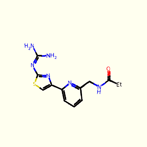 CCC(=O)NCc1cccc(-c2csc(N=C(N)N)n2)n1